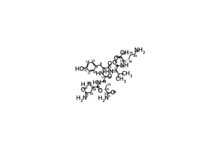 CC(C)[C@H](NC(=O)[C@H](Cc1ccc(O)cc1)NC(=O)[C@H](CCC(N)=O)NC(=O)[C@@H](N)CC(N)=O)C(=O)N[C@@H](CCCN)C(=O)O